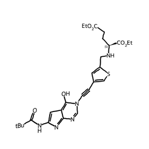 CCOC(=O)CC[C@H](NCc1cc(C#Cn2cnc3nc(NC(=O)C(C)(C)C)cc-3c2O)cs1)C(=O)OCC